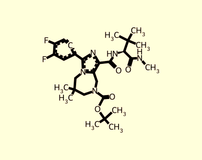 CNC(=O)[C@@H](NC(=O)c1nc(-c2ccc(F)c(F)c2)n2c1CN(C(=O)OC(C)(C)C)CC(C)(C)C2)C(C)(C)C